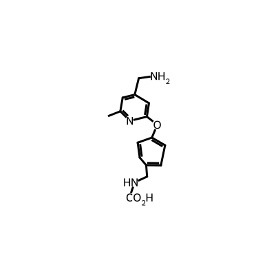 Cc1cc(CN)cc(Oc2ccc(CNC(=O)O)cc2)n1